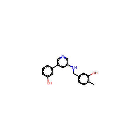 Cc1ccc(CNc2cncc(-c3cccc(O)c3)c2)cc1O